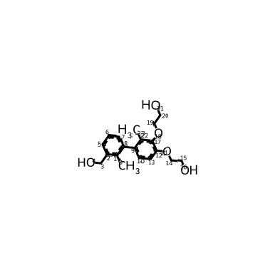 Cc1c(CO)cccc1-c1ccc(OCCO)c(OCCO)c1C